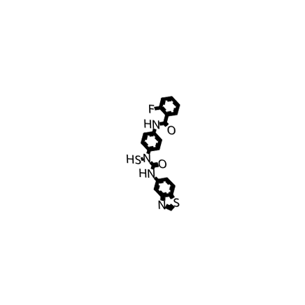 O=C(Nc1ccc(N(S)C(=O)Nc2ccc3scnc3c2)cc1)c1ccccc1F